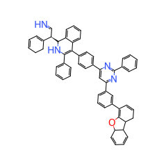 N=C[C@H](C1=CC=CCC1)C1NC(c2ccccc2)=C(c2ccc(-c3cc(-c4cccc(C5=C6OC7C=CC=CC7C6CC=C5)c4)nc(-c4ccccc4)n3)cc2)c2ccccc21